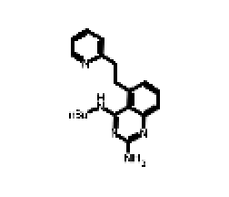 CCCCNc1nc(N)nc2cccc(CCc3ccccn3)c12